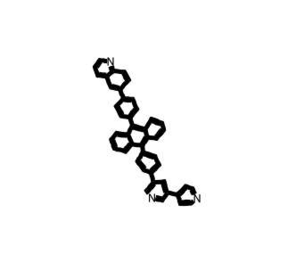 c1cnc2ccc(-c3ccc(-c4c5ccccc5c(-c5ccc(-c6cncc(-c7ccncc7)c6)cc5)c5ccccc45)cc3)cc2c1